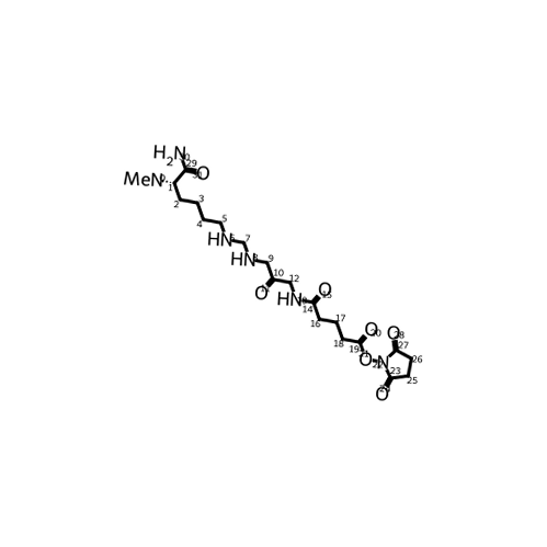 CN[C@@H](CCCCNCNCC(=O)CNC(=O)CCCC(=O)ON1C(=O)CCC1=O)C(N)=O